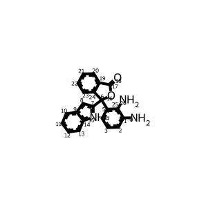 Nc1cccc(C2(c3cc4ccccc4[nH]3)OC(=O)c3ccccc32)c1N